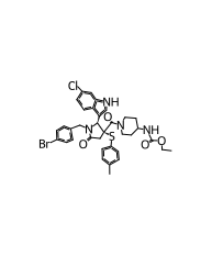 CCOC(=O)NC1CCN(C(=O)[C@]2(Sc3ccc(C)cc3)CC(=O)N(Cc3ccc(Br)cc3)[C@H]2c2c[nH]c3cc(Cl)ccc23)CC1